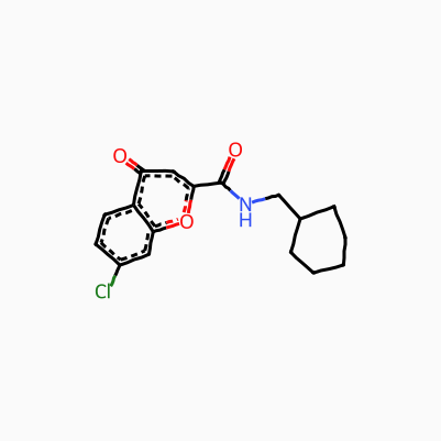 O=C(NCC1CCCCC1)c1cc(=O)c2ccc(Cl)cc2o1